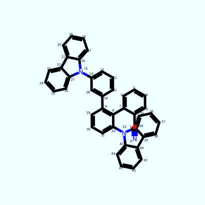 N#Cc1ccccc1-c1c(-c2cccc(-n3c4ccccc4c4ccccc43)c2)cccc1-n1c2ccccc2c2ccccc21